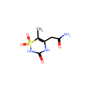 CC1=C(CC(N)=O)NC(=O)NS1(=O)=O